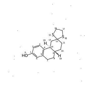 Oc1ccc2c(c1)CC[C@H]1CCC3(C[C@H]21)SCCS3